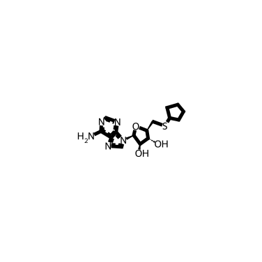 Nc1ncnc2c1ncn2[C@H]1O[C@@H](CSC2CCCC2)[C@H](O)[C@H]1O